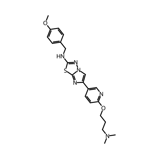 COc1ccc(CNc2nn3cc(-c4ccc(OCCCN(C)C)nc4)nc3s2)cc1